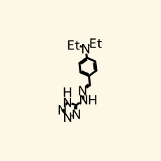 CCN(CC)c1ccc(C=NNc2nnn[nH]2)cc1